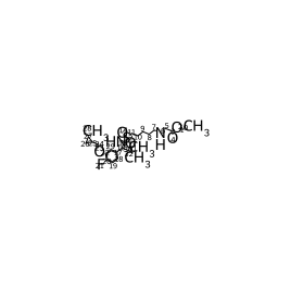 CCOC(=O)CNCCCCCS(=O)(=O)NC(c1ccc(F)c(OCC2CC2C)c1)C(C)C